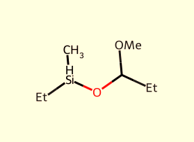 CCC(OC)O[SiH](C)CC